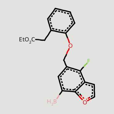 Bc1cc(COc2ccccc2CC(=O)OCC)c(F)c2ccoc12